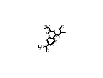 CCC(C)/C=C(\C=C(/C)C=O)c1ccc(C(N)=O)cc1